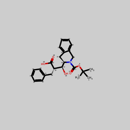 CC(C)(C)OC(=O)N1Cc2ccccc2C[C@@H]1[C@@H](O)[C@H](Cc1ccccc1)C(=O)O